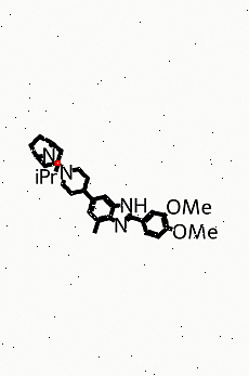 COc1ccc(-c2nc3c(C)cc(C4CCN(C5CC6CCC(C5)N6CC(C)C)CC4)cc3[nH]2)cc1OC